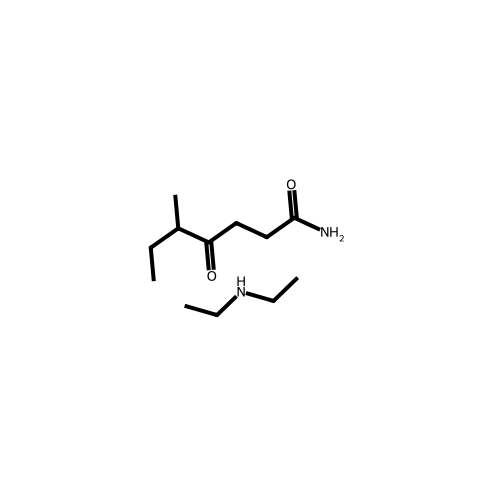 CCC(C)C(=O)CCC(N)=O.CCNCC